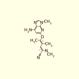 C=N/C(C#N)=C\C(C)=C(/C)Oc1cc(N)c2ncn(C)c2n1